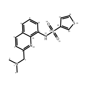 CN(C)Cc1ccc2cccc(NS(=O)(=O)c3ccsc3)c2n1